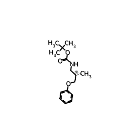 C[C@@H](CNC(=O)OC(C)(C)C)COc1ccccc1